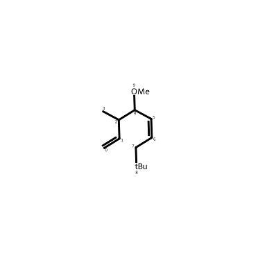 C=CC(C)C(/C=C\CC(C)(C)C)OC